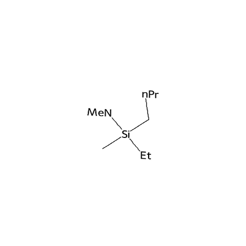 CCCC[Si](C)(CC)NC